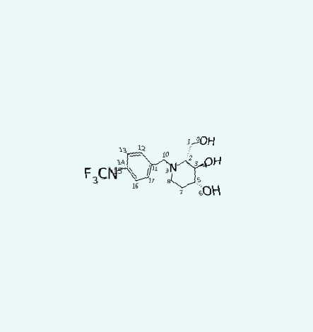 OC[C@@H]1[C@@H](O)[C@H](O)CCN1Cc1ccc(NC(F)(F)F)cc1